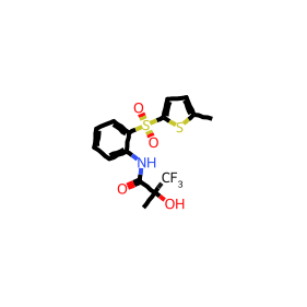 Cc1ccc(S(=O)(=O)c2ccccc2NC(=O)C(C)(O)C(F)(F)F)s1